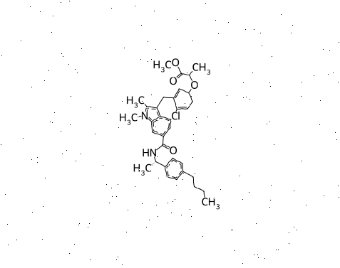 CCCCc1ccc([C@H](C)NC(=O)c2ccc3c(CC4=CC(OC(C)C(=O)OC)CC=C4Cl)c(C)n(C)c3c2)cc1